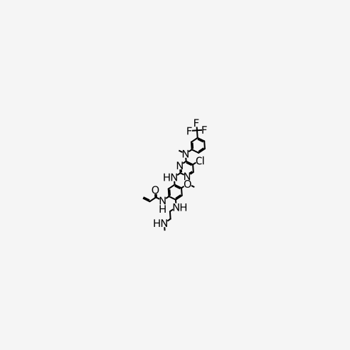 C=CC(=O)Nc1cc(Nc2ncc(Cl)c(N(C)c3cccc(C(F)(F)F)c3)n2)c(OC)cc1NCCNC